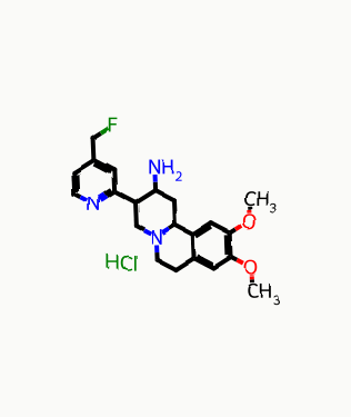 COc1cc2c(cc1OC)C1CC(N)C(c3cc(CF)ccn3)CN1CC2.Cl